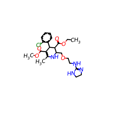 CCOC(=O)C1C(COCCNC2=NCCN2)NC(C)=C(C(=O)OC)C1c1ccccc1Cl